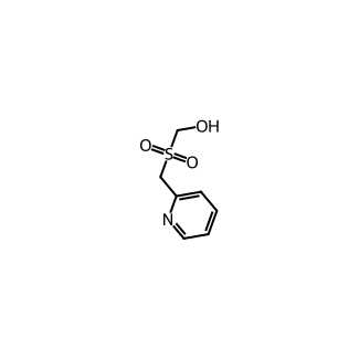 O=S(=O)(CO)Cc1ccccn1